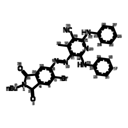 CCCCN1C(=O)c2cc(Br)c(/N=N/c3c(Nc4ccccc4)nc(Nc4ccccc4)c(C#N)c3C)cc2C1=O